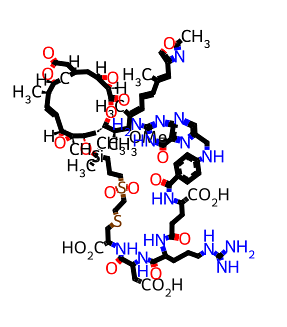 CO[C@@H](/C(C)=C/C=C/C(C)=C/c1coc(C)n1)[C@@H](C)[C@@H]1C[C@H](O[Si](C)(C)CCCS(=O)(=O)CCSCC(NC(=O)C(CC(=O)O)NC(=O)C(CCCNC(=N)N)NC(=O)CCC(NC(=O)c2ccc(NCc3cnc4nc(N)[nH]c(=O)c4n3)cc2)C(=O)O)C(=O)O)[C@@]2(C)O[C@@H]2/C=C/[C@@H](C)[C@H]2C[C@H](CC(=O)O2)C[C@@H]2O[C@H]2C(=O)O1